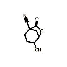 CC1CCC2(C#N)CC1OC2=O